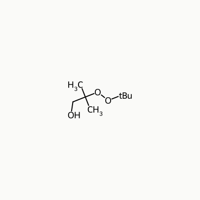 CC(C)(C)OOC(C)(C)CO